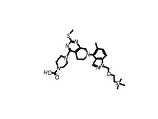 CSc1nc2c(c(N3CCN(C(=O)O)CC3)n1)CCN(c1c(C)ccc3c1cnn3COCC[Si](C)(C)C)C2